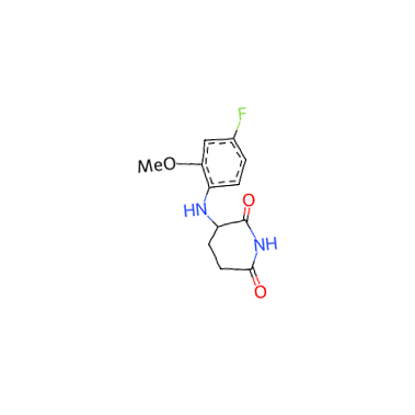 COc1cc(F)ccc1NC1CCC(=O)NC1=O